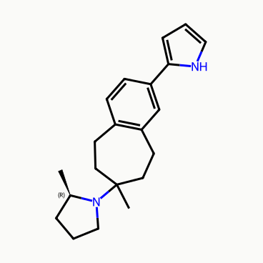 C[C@@H]1CCCN1C1(C)CCc2ccc(-c3ccc[nH]3)cc2CC1